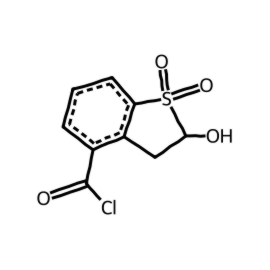 O=C(Cl)c1cccc2c1CC(O)S2(=O)=O